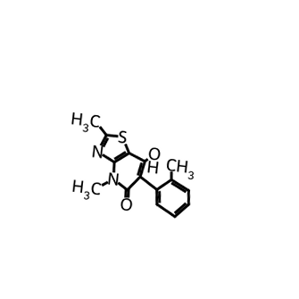 Cc1nc2c(s1)c(O)c(-c1ccccc1C)c(=O)n2C